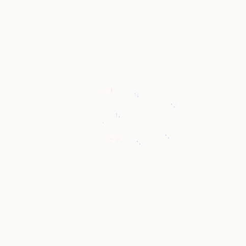 Nc1ncnc2c1ncn2C1(O)C(=CF)CCC1O